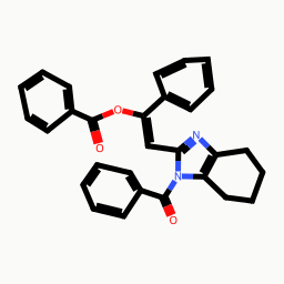 O=C(O/C(=C/c1nc2c(n1C(=O)c1ccccc1)CCCC2)c1ccccc1)c1ccccc1